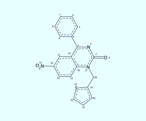 O=c1nc(-c2ccccc2)c2cc([N+](=O)[O-])ccc2n1Cc1cccs1